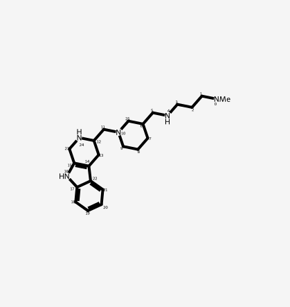 CNCCCNCC1CCCN(CC2Cc3c([nH]c4ccccc34)CN2)C1